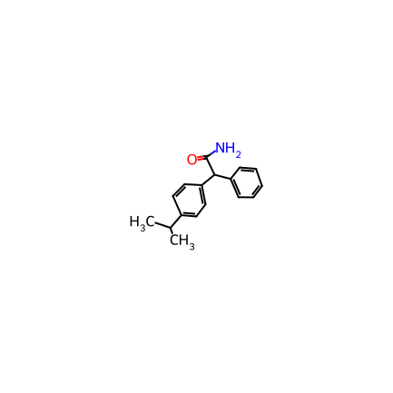 CC(C)c1ccc(C(C(N)=O)c2ccccc2)cc1